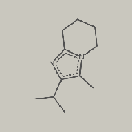 Cc1c(C(C)C)nc2n1CCCC2